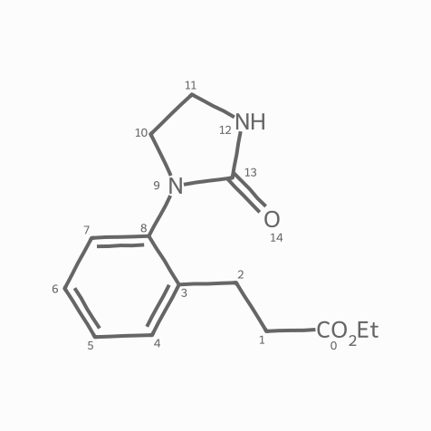 CCOC(=O)CCc1ccccc1N1CCNC1=O